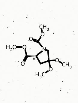 COC(=O)[C@@H]1CC(OC)(OC)CN1C(=O)OC